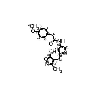 COc1ccc(CC(=O)Nc2cnn(Cc3c(C)noc3C)c2)cc1